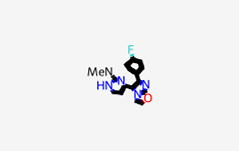 CNC1=NC(c2c(-c3ccc(F)cc3)nc3occn23)=CCN1